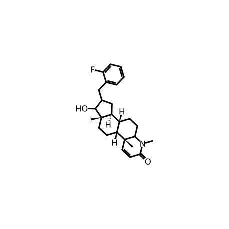 CN1C(=O)C=C[C@@]2(C)C1CC[C@@H]1[C@H]2CC[C@]2(C)C(O)C(Cc3ccccc3F)C[C@@H]12